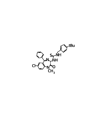 CN1C(=O)C(NC(=S)NCc2ccc(C(C)(C)C)cc2)N=C(c2ccccc2)c2cc(Cl)ccc21